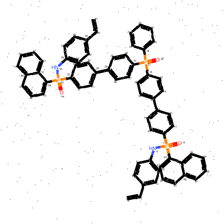 C=Cc1ccc(NP(=O)(c2ccc(-c3ccc(P(=O)(c4ccccc4)c4ccc(-c5ccc(P(=O)(Nc6ccc(C=C)cc6)c6cccc7ccccc67)cc5)cc4)cc3)cc2)c2cccc3ccccc23)cc1